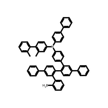 Bc1ccccc1-c1cc(-c2ccccc2)ccc1-c1ccc(-c2ccccc2)cc1-c1ccc(N(c2ccc(-c3ccccc3)cc2)c2ccc(-c3ccccc3C)c(C)c2)cc1